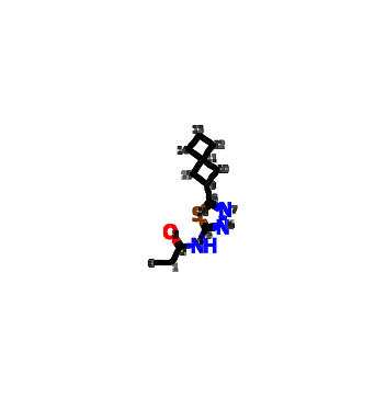 CCC(=O)Nc1nnc(C2CC3(CCC3)C2)s1